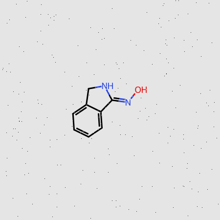 ON=C1NCc2ccccc21